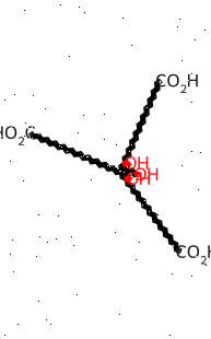 O=C(O)CCCCCCCCCCCCCCCCCCCCCC(CCCCCCCCCCCCCCCCCCCCCC(=O)O)(CCCCCCCCCCCCCCCCCCCCCC(=O)O)C(CO)(CO)CCO